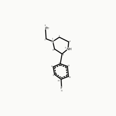 C[C](C)CN1CCNC(c2ccc(F)cc2)C1